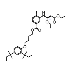 CCOC(=O)/C=C(/Nc1cc(C(=O)OCCCCOc2ccc(C(C)(C)CC)cc2C(C)(C)CC)ccc1C)OCC